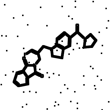 O=C(c1ccc2c(c1)CCN2C/C(=C/F)CN1C(=O)c2ccccc2C1=O)N1CCCC1